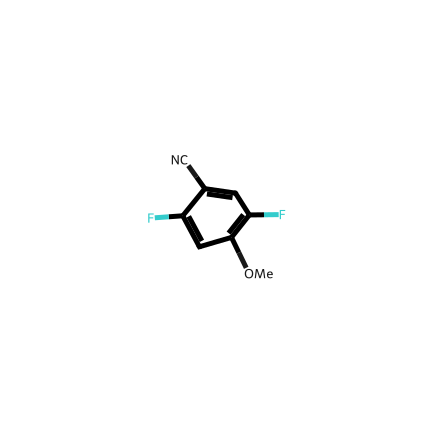 COc1cc(F)c(C#N)cc1F